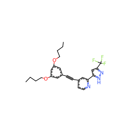 CCCCOc1cc(C#Cc2ccnc(-c3cc(C(F)(F)F)n[nH]3)c2)cc(OCCCC)c1